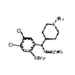 COc1cc(Cl)c(Cl)cc1C(N=[N+]=[N-])C1CCN(C(C)(C)C)CC1